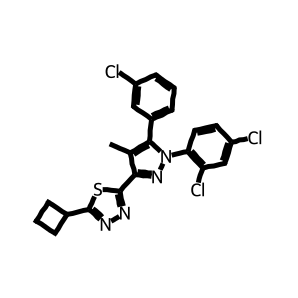 Cc1c(-c2nnc(C3CCC3)s2)nn(-c2ccc(Cl)cc2Cl)c1-c1cccc(Cl)c1